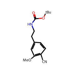 COc1cc(CCNC(=O)OC(C)(C)C)ccc1C#N